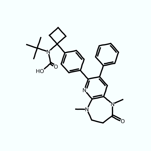 CN1CCC(=O)N(C)c2cc(-c3ccccc3)c(-c3ccc(C4(N(C(=O)O)C(C)(C)C)CCC4)cc3)nc21